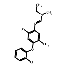 CCN(C)C=Nc1cc(C)c(Oc2ccccc2Cl)cc1Br